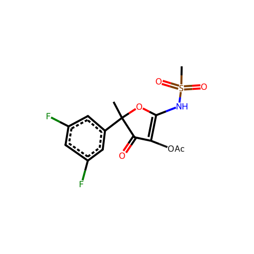 CC(=O)OC1=C(NS(C)(=O)=O)OC(C)(c2cc(F)cc(F)c2)C1=O